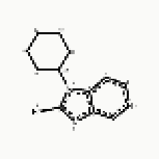 Brc1nc2cnccc2n1C1CCCCC1